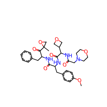 COc1ccc(CC(NC(=O)C(NC(=O)CN2CCOCC2)C2COC2)C(=O)NC(Cc2ccccc2)C(=O)C2(C)CO2)cc1